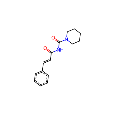 O=C(/C=C/c1ccccc1)NC(=O)N1CCCCC1